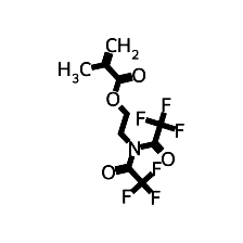 C=C(C)C(=O)OCCN(C(=O)C(F)(F)F)C(=O)C(F)(F)F